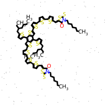 CCCCCCCN1C(=O)/C(=C/c2ccc(-c3ccc(-c4ccc(-c5cc6c(-c7ccc(CC(CC)CCCC)s7)c7sc(-c8ccc(-c9ccc(-c%10ccc(/C=C%11\SC(=S)N(CCCCCCC)C%11=O)s%10)s9)s8)cc7c(-c7ccc(CC(CC)CCCC)s7)c6s5)s4)s3)s2)SC1=S